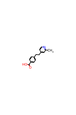 Cc1cc(CCc2ccc(C(=O)O)cc2)ccn1